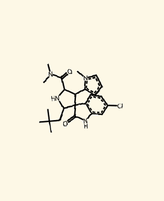 CN(C)C(=O)C1NC(CC(C)(C)C)C2(C(=O)Nc3cc(Cl)ccc32)C1c1cccn1C